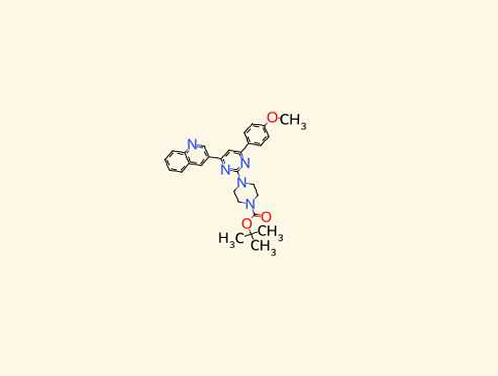 COc1ccc(-c2cc(-c3cnc4ccccc4c3)nc(N3CCN(C(=O)OC(C)(C)C)CC3)n2)cc1